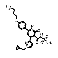 CCCCOc1ccc(-c2cc(-c3ccn(CC4CC4)n3)c(C(=O)NS(C)(=O)=O)c(=O)[nH]2)cc1